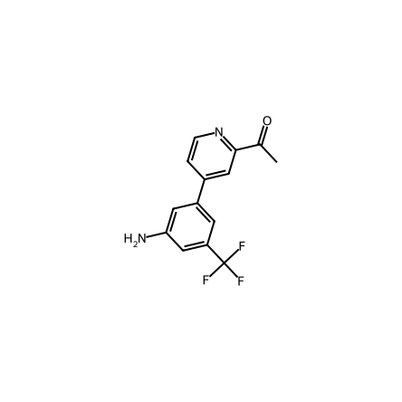 CC(=O)c1cc(-c2cc(N)cc(C(F)(F)F)c2)ccn1